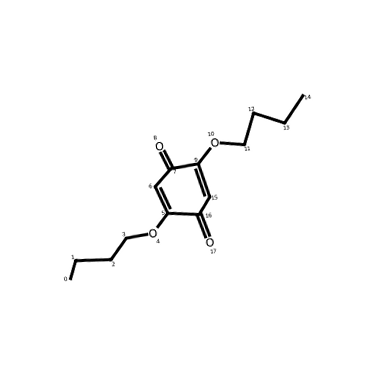 CCCCOC1=CC(=O)C(OCCCC)=CC1=O